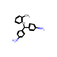 CCC(c1ccc(N)cc1)c1ccc(N)cc1.Cc1ccccc1